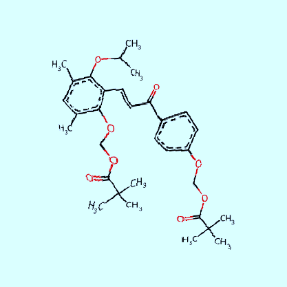 Cc1cc(C)c(OC(C)C)c(C=CC(=O)c2ccc(OCOC(=O)C(C)(C)C)cc2)c1OCOC(=O)C(C)(C)C